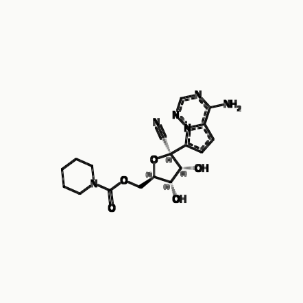 N#C[C@@]1(c2ccc3c(N)ncnn23)O[C@H](COC(=O)N2CCCCC2)[C@@H](O)[C@H]1O